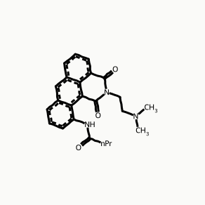 CCCC(=O)Nc1cccc2cc3cccc4c3c(c12)C(=O)N(CCN(C)C)C4=O